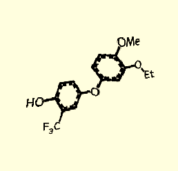 CCOc1cc(Oc2ccc(O)c(C(F)(F)F)c2)ccc1OC